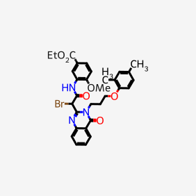 CCOC(=O)c1ccc(OC)c(NC(=O)C(Br)c2nc3ccccc3c(=O)n2CCCOc2ccc(C)cc2C)c1